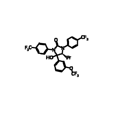 CC(C)[C@@H]1N(c2ccc(C(F)(F)F)cc2)C(=O)N(c2ccc(C(F)(F)F)cc2)C1(O)c1cccc(OC(F)(F)F)c1